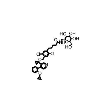 O=C(CCCCc1cc(Cl)c(COC2(c3cnccc3-c3ccccc3OC3CC3)CC2)cc1Cl)NC[C@@H]1O[C@H](CO)[C@@H](O)[C@H](O)[C@H]1O